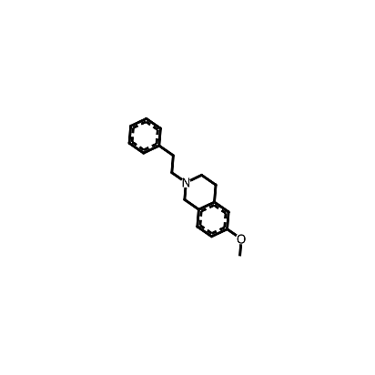 COc1ccc2c(c1)CCN(CCc1ccccc1)C2